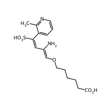 Cc1ncccc1/C(=C\C(N)=C\OCCCCCC(=O)O)S(=O)(=O)O